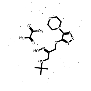 CC(C)(C)NCC(COc1nsnc1N1CCOCC1)=NO.O=C(O)C(=O)O